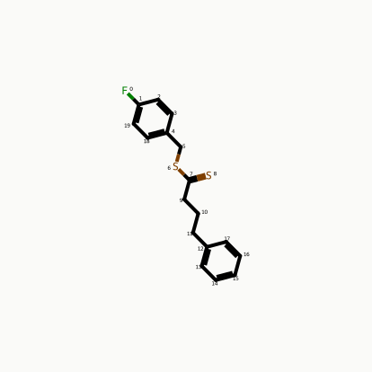 Fc1ccc(CSC(=S)CCCc2ccccc2)cc1